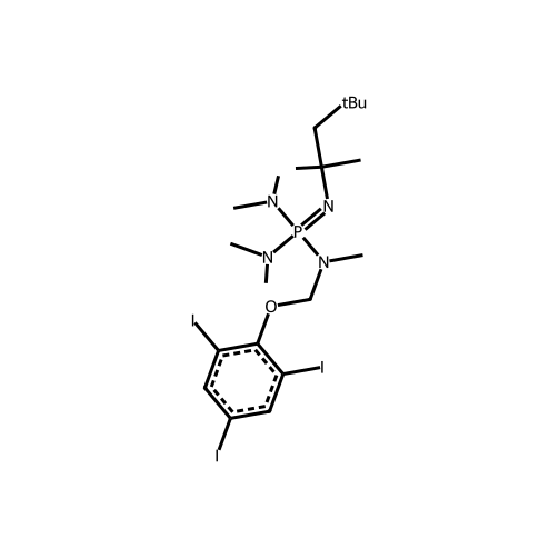 CN(C)P(=NC(C)(C)CC(C)(C)C)(N(C)C)N(C)COc1c(I)cc(I)cc1I